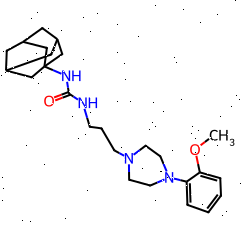 COc1ccccc1N1CCN(CCCNC(=O)NC23CC4CC(CC(C4)C2)C3)CC1